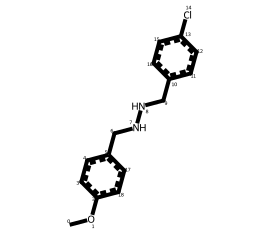 COc1ccc(CNNCc2ccc(Cl)cc2)cc1